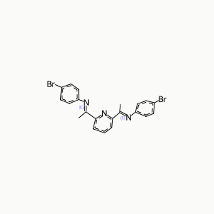 C/C(=N\c1ccc(Br)cc1)c1cccc(/C(C)=N/c2ccc(Br)cc2)n1